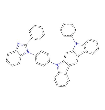 c1ccc(-c2nc3ccccc3n2-c2ccc(-n3c4ccccc4c4cc5c6ccccc6n(-c6ccccc6)c5cc43)cc2)cc1